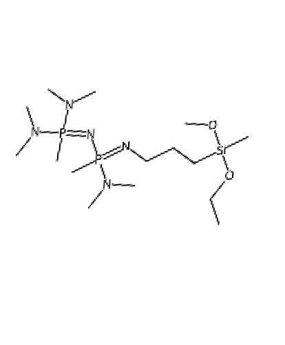 CCO[Si](C)(CCCN=P(C)(N=P(C)(N(C)C)N(C)C)N(C)C)OC